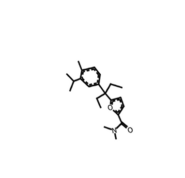 CCC(CC)(c1ccc(C)c(C(C)C)c1)c1ccc(C(=O)N(C)C)o1